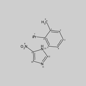 Cc1ccccc1C(C)C.O=[N+]([O-])c1cnc[nH]1